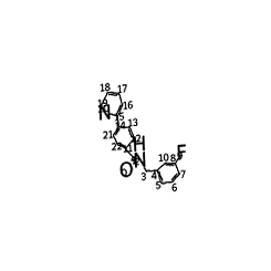 O=C(NCc1cccc(F)c1)c1ccc(-c2ccccn2)cc1